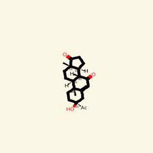 CC(=O)[C@]1(O)CC[C@@]2(C)C(=CC(=O)[C@@H]3[C@@H]2CC[C@]2(C)C(=O)CC[C@@H]32)C1